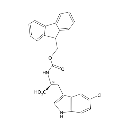 O=C(N[C@@H](Cc1c[nH]c2ccc(Cl)cc12)C(=O)O)OCC1c2ccccc2-c2ccccc21